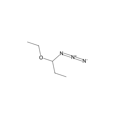 CCOC(CC)N=[N+]=[N-]